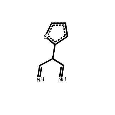 N=CC(C=N)c1cccs1